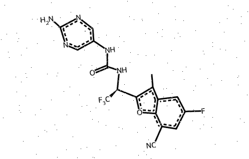 Cc1c([C@H](NC(=O)Nc2cnc(N)nc2)C(F)(F)F)oc2c(C#N)cc(F)cc12